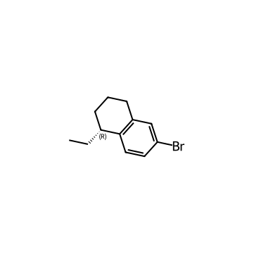 CC[C@@H]1CCCc2cc(Br)ccc21